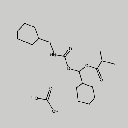 CC(C)C(=O)OC(OC(=O)NCC1CCCCC1)C1CCCCC1.O=C(O)O